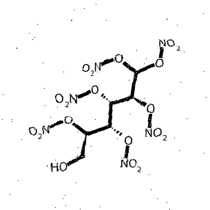 O=[N+]([O-])OC(O[N+](=O)[O-])[C@@H](O[N+](=O)[O-])[C@@H](O[N+](=O)[O-])[C@H](O[N+](=O)[O-])[C@@H](CO)O[N+](=O)[O-]